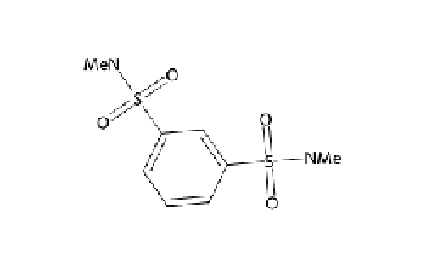 CNS(=O)(=O)c1cccc(S(=O)(=O)NC)c1